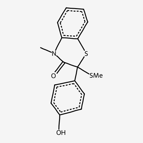 CSC1(c2ccc(O)cc2)Sc2ccccc2N(C)C1=O